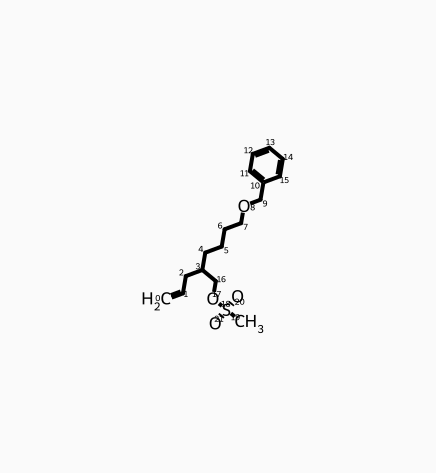 C=CCC(CCCCOCc1ccccc1)COS(C)(=O)=O